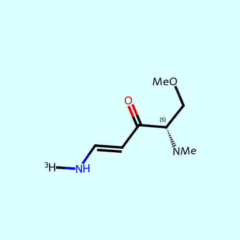 [3H]NC=CC(=O)[C@H](COC)NC